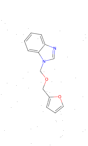 c1coc(COCn2cnc3ccccc32)c1